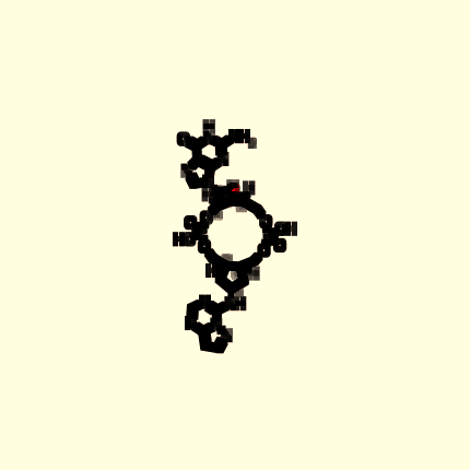 Nc1nc2c(ncn2[C@@H]2O[C@@H]3COP(=O)(O)OC[C@H]4C[C@H](Nc5ncnc6ccnn56)C[C@@H]4COP(=O)(O)O[C@@H]2[C@@H]3O)c(=O)[nH]1